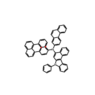 c1ccc(-c2cccc3cccc(-c4ccc(N(c5ccc6c(ccc7ccccc76)c5)c5cc6c(c7ccccc57)c5ccccc5n6-c5ccccc5)cc4)c23)cc1